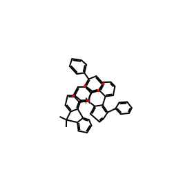 CC1(C)c2ccccc2-c2c(N(c3cccc(-c4ccccc4)c3)c3cccc(-c4ccccc4)c3-c3ccccc3-c3ccccc3)cccc21